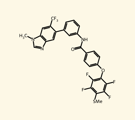 CSc1c(F)c(F)c(Oc2ccc(C(=O)Nc3cccc(-c4cc5ncn(C)c5cc4C(F)(F)F)c3)cc2)c(F)c1F